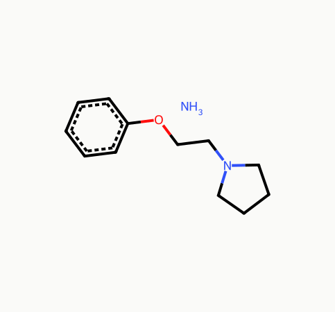 N.c1ccc(OCCN2CCCC2)cc1